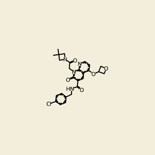 CC1(C)CN(C(=O)Cn2c(=O)c(C(=O)NCc3ccc(Cl)cc3)cc3c(OC4COC4)ccnc32)C1